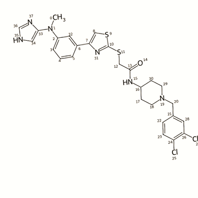 CN(c1cccc(-c2csc(SCC(=O)NC3CCN(Cc4ccc(Cl)c(Cl)c4)CC3)n2)c1)c1c[nH]cn1